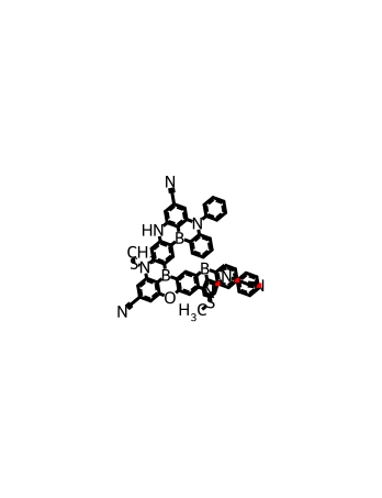 CSN1c2cc3c(cc2B2c4cc5c(cc4Oc4cc(C#N)cc1c42)N(SC)c1cc(C#N)cc2c1B5c1ccccc1N2c1ccccc1)B1c2ccccc2N(c2ccccc2)c2cc(C#N)cc(c21)N3